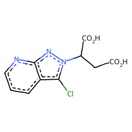 O=C(O)CC(C(=O)O)n1nc2ncccc2c1Cl